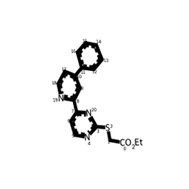 CCOC(=O)CSc1nccc(-c2cc(-c3ccccc3)ccn2)n1